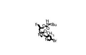 Cc1cc(Br)cnc1-n1cnn(C/C(=C\F)COC(=O)NC(C)(C)C)c1=O